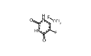 FC(Cl)(Cl)Cl.O=c1[nH]cc(F)c(=O)[nH]1